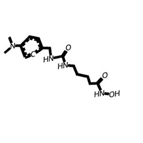 CN(C)c1ccc(CNC(=O)NCCCCC(=O)NO)cc1